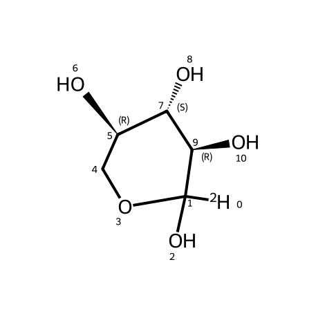 [2H]C1(O)OC[C@@H](O)[C@H](O)[C@H]1O